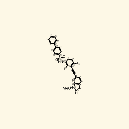 CON1NCc2ccc(C#Cc3c(F)ccc(NS(=O)(=O)c4ccc(-c5ccccc5)cc4)c3F)nc21